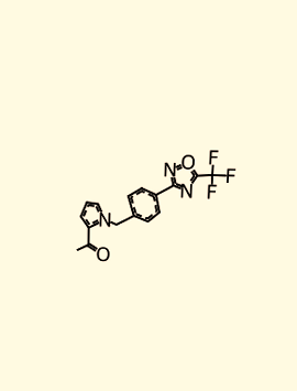 CC(=O)c1cccn1Cc1ccc(-c2noc(C(F)(F)F)n2)cc1